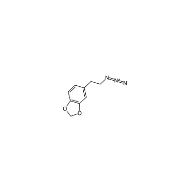 [N-]=[N+]=NCCc1ccc2c(c1)OCO2